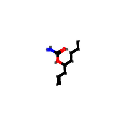 C=CCC(CCCC)OC([NH])=O